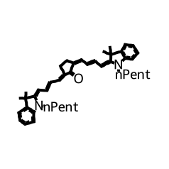 CCCCCN1C(=CC=CC=C2CCC(=CC=CC=C3N(CCCCC)c4ccccc4C3(C)C)C2=O)C(C)(C)c2ccccc21